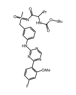 COc1cc(F)ccc1-c1ncnc(Nc2cccc(CS(C)(=O)=NC(=O)C(NC(=O)OC(C)(C)C)C(C)C)c2)n1